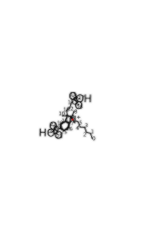 CCCCCC[N+]1=C(C)C(C)(CCCS(=O)(=O)O)c2cc(S(=O)(=O)O)ccc21